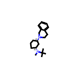 CN([C@@H]1CCC[C@@H](N2CCc3ccccc3C2)C1)C(C)(C)C